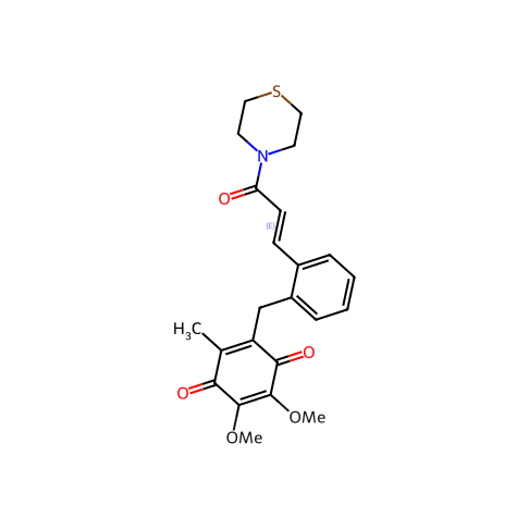 COC1=C(OC)C(=O)C(Cc2ccccc2/C=C/C(=O)N2CCSCC2)=C(C)C1=O